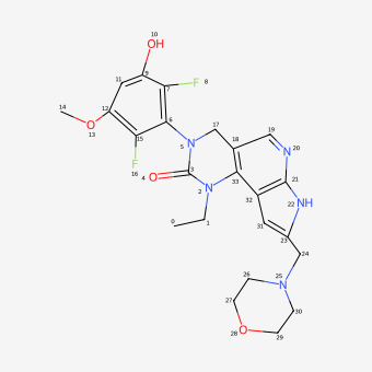 CCN1C(=O)N(c2c(F)c(O)cc(OC)c2F)Cc2cnc3[nH]c(CN4CCOCC4)cc3c21